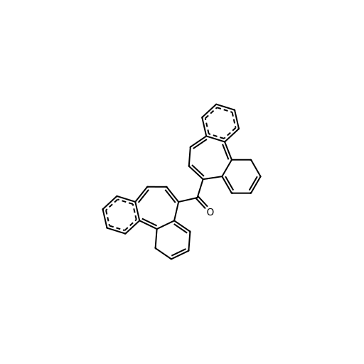 O=C(C1=CC=c2ccccc2=C2CC=CC=C12)C1=CC=c2ccccc2=C2CC=CC=C12